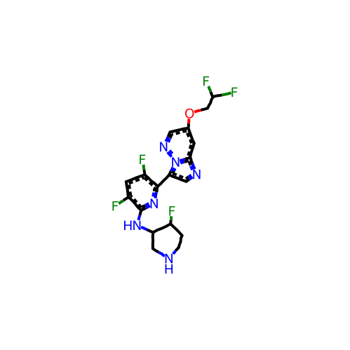 Fc1cc(F)c(-c2cnc3cc(OCC(F)F)cnn23)nc1NC1CNCCC1F